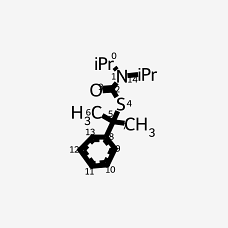 CC(C)N(C(=O)SC(C)(C)c1ccccc1)C(C)C